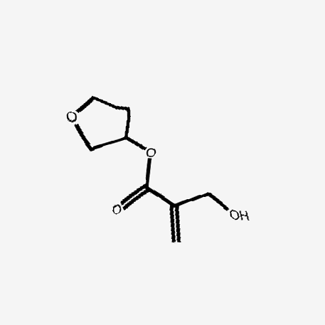 C=C(CO)C(=O)OC1CCOC1